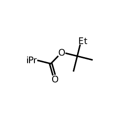 [CH2]C(C)C(=O)OC(C)(C)CC